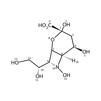 O=C(O)[C@@]1(O)C[C@@H](O)[C@@H]2C(O1)[C@@H]([C@H](O)CO)N2O